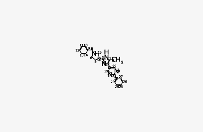 Cc1[nH]c([C@H]2CCN(Cc3ccccc3)C2)nc1-c1cnc(-c2ccccc2)nc1